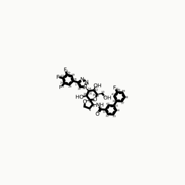 O=C(N[C@@H]1CCO[C@]12O[C@H](CO)[C@H](O)[C@H](n1cc(-c3cc(F)c(F)c(F)c3)nn1)[C@@H]2O)c1cccc(-c2cccc(F)c2)c1